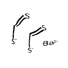 S=C[S-].S=C[S-].[Ba+2]